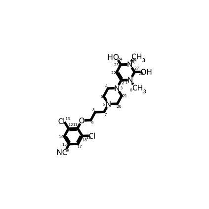 CN1C(N2CCN(CCCOc3c(Cl)cc(C#N)cc3Cl)CC2)=CC(O)N(C)C1O